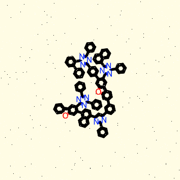 c1ccc(-c2nc(-c3cccc(-c4ccc5c(c4)oc4cc(-c6ccc(-c7nc(-c8ccccc8)nc(-c8ccccc8-c8ccccc8)n7)cc6)c(-c6nc(-c7ccccc7)nc(-c7cccc8ccccc78)n6)cc45)c3)cc(-c3ccc(-c4cc5oc6ccccc6c5cc4-c4nc(-c5ccccc5)nc(-c5ccccc5)n4)c4ccccc34)n2)cc1